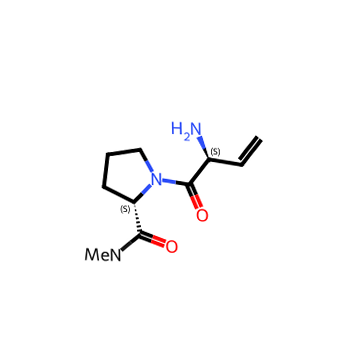 C=C[C@H](N)C(=O)N1CCC[C@H]1C(=O)NC